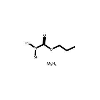 CCCOC(=O)N(S)S.[MgH2]